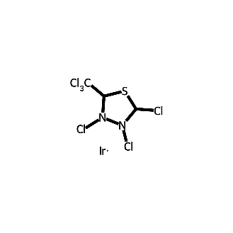 ClC1SC(C(Cl)(Cl)Cl)N(Cl)N1Cl.[Ir]